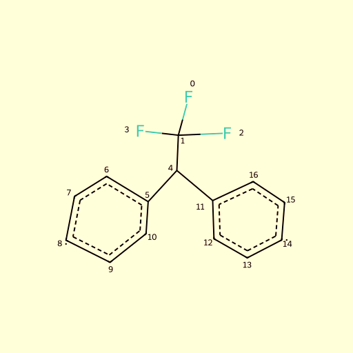 FC(F)(F)C(c1cc[c]cc1)c1cc[c]cc1